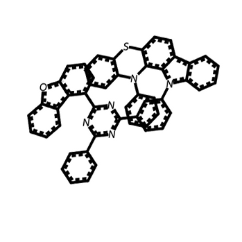 c1ccc(-c2nc(-c3cccc(-n4c5ccccc5c5ccc6c(c54)N(c4ccccc4)c4ccccc4S6)c3)nc(-c3cccc4oc5ccccc5c34)n2)cc1